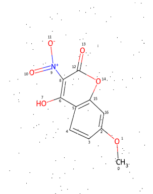 COc1ccc2c(O)c([N+](=O)[O-])c(=O)oc2c1